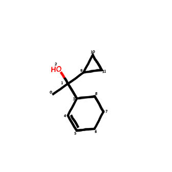 CC(O)(C1C=CCCC1)C1CC1